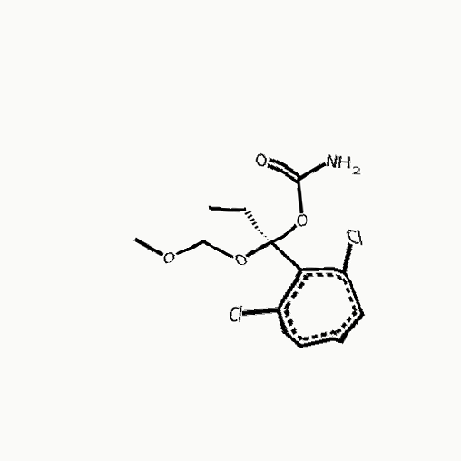 CC[C@](OCOC)(OC(N)=O)c1c(Cl)cccc1Cl